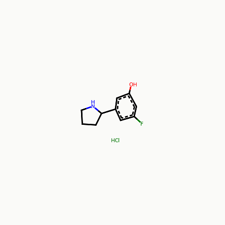 Cl.Oc1cc(F)cc(C2CCCN2)c1